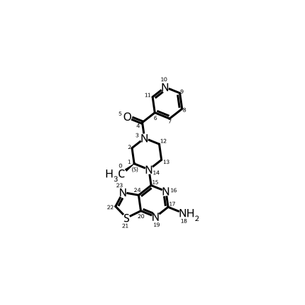 C[C@H]1CN(C(=O)c2cccnc2)CCN1c1nc(N)nc2scnc12